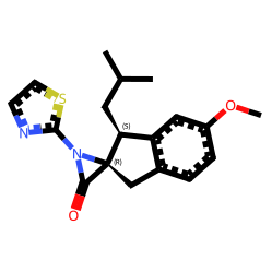 COc1ccc2c(c1)[C@H](CC(C)C)[C@]1(C2)C(=O)N1c1nccs1